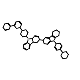 C1=CC(C2CCC(N3c4ccccc4C4CC(C5C=c6c7c(n(C8C=CC(C9CCCCC9)=CC8)c6=CC5)CCCC7)C=CC43)CC2)CC(C2=CCCC=C2)=C1